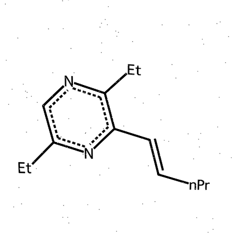 CCC/C=C/c1nc(CC)cnc1CC